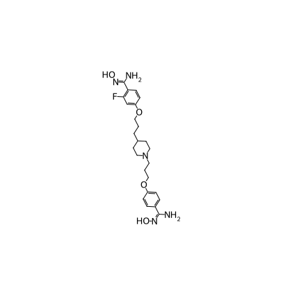 N/C(=N\O)c1ccc(OCCCC2CCN(CCCOc3ccc(/C(N)=N\O)cc3)CC2)cc1F